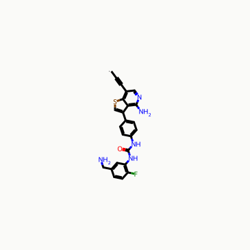 [CH2]C#Cc1cnc(N)c2c(-c3ccc(NC(=O)Nc4cc(CN)ccc4F)cc3)csc12